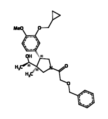 COc1ccc([C@@H]2CN(C(=O)COCc3ccccc3)C[C@@]2(C)[C@@H](C)O)cc1OCC1CC1